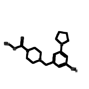 Cc1cc(CN2CCN(C(=O)OC(C)(C)C)CC2)cc(N2CCCC2)c1